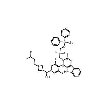 C[C@@H]1Cc2c([nH]c3ccccc23)[C@@H](c2c(F)cc(C(O)C3CN(CCC(F)F)C3)cc2F)N1CC(F)(F)CO[Si](c1ccccc1)(c1ccccc1)C(C)(C)C